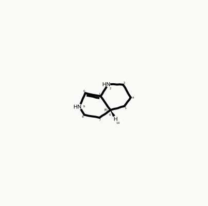 C1=C2NCCC[C@@H]2CCN1